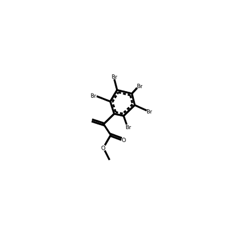 C=C(C(=O)OC)c1c(Br)c(Br)c(Br)c(Br)c1Br